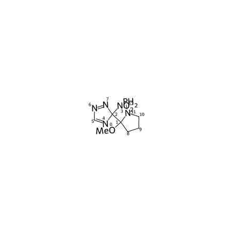 COC1(C2([N+](=O)[O-])N=CN=N2)CCCN1P